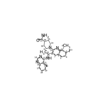 Cc1c(F)ccc2cc([C@H](C)Nc3ncnc4cccnc34)c(N3CCC(C(N)=O)CC3)nc12